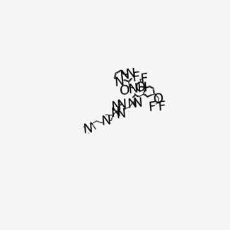 CN(C)C(C)(C)CCN1CC(n2nnc(Cn3cc(NC(=O)c4cnn5cccnc45)c(-c4cc(OC(F)F)ccc4OC(F)F)n3)n2)C1